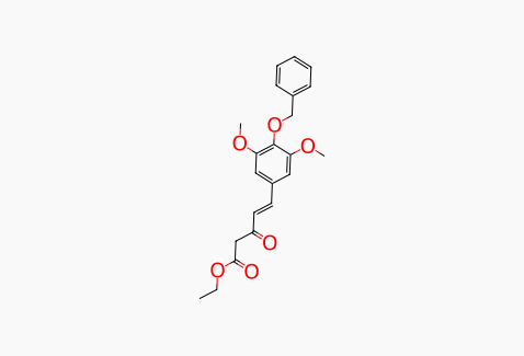 CCOC(=O)CC(=O)/C=C/c1cc(OC)c(OCc2ccccc2)c(OC)c1